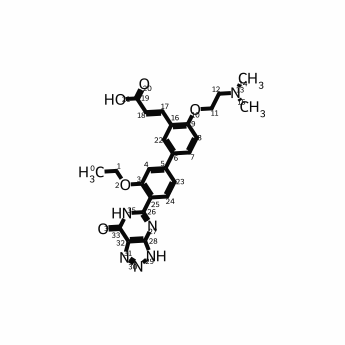 CCOc1cc(-c2ccc(OCCN(C)C)c(C=CC(=O)O)c2)ccc1-c1nc2[nH]nnc2c(=O)[nH]1